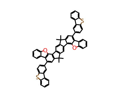 CC1(C)c2cc3c(cc2-c2c1cc(-c1ccc4sc5ccccc5c4c1)c1c2oc2ccccc21)C(C)(C)c1cc(-c2ccc4sc5ccccc5c4c2)c2c(oc4ccccc42)c1-3